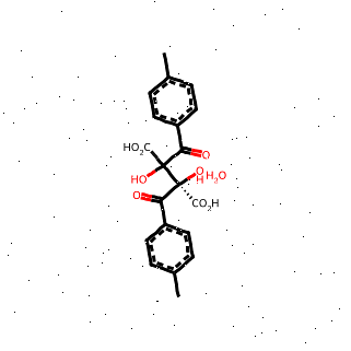 Cc1ccc(C(=O)C(O)(C(=O)O)[C@](O)(C(=O)O)C(=O)c2ccc(C)cc2)cc1.O